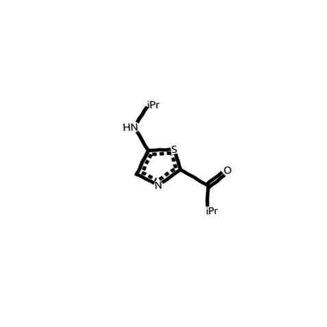 CC(C)Nc1cnc(C(=O)C(C)C)s1